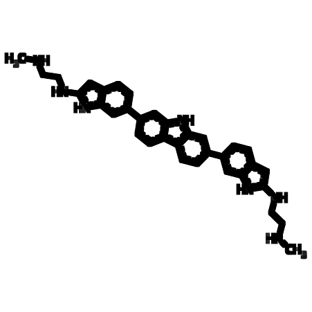 CNCCNc1cc2ccc(-c3ccc4c(c3)[nH]c3cc(-c5ccc6cc(NCCNC)[nH]c6c5)ccc34)cc2[nH]1